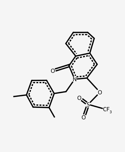 Cc1ccc(Cn2c(OS(=O)(=O)C(F)(F)F)cc3ccccc3c2=O)c(C)c1